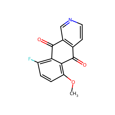 COc1ccc(F)c2c1C(=O)c1ccncc1C2=O